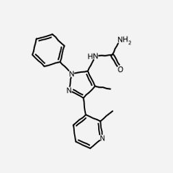 Cc1ncccc1-c1nn(-c2ccccc2)c(NC(N)=O)c1C